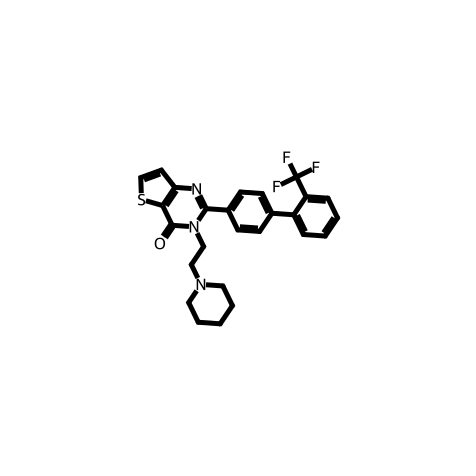 O=c1c2sccc2nc(-c2ccc(-c3ccccc3C(F)(F)F)cc2)n1CCN1CCCCC1